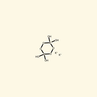 O[B-]1(O)OO[B-](O)(O)OO1.[K+].[K+]